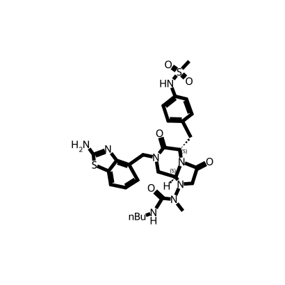 CCCCNC(=O)N(C)N1CC(=O)N2[C@@H](Cc3ccc(NS(C)(=O)=O)cc3)C(=O)N(Cc3cccc4sc(N)nc34)C[C@@H]21